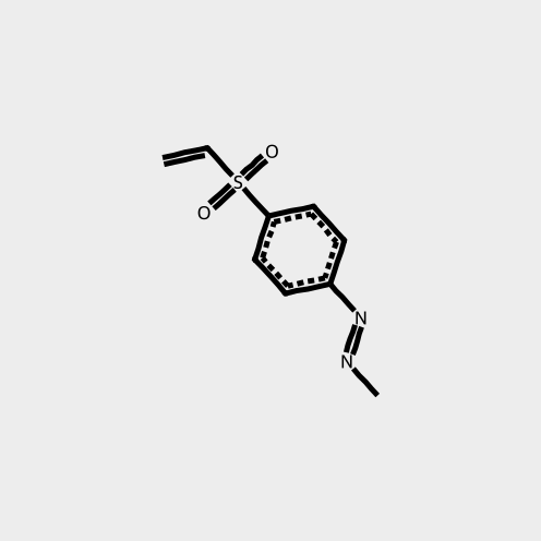 C=CS(=O)(=O)c1ccc(/N=N/C)cc1